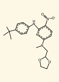 CN(CC1OCCO1)c1ccc([N+](=O)[O-])c(Nc2ccc(C(C)(C)C)cc2)n1